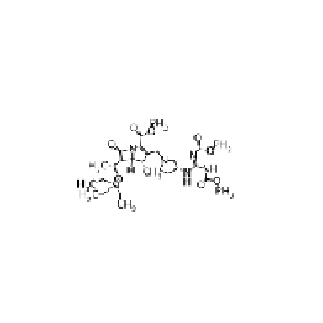 CC[Si](CC)(CC)O[C@H](C)C1C(=O)N2C(C(=O)OP)=C(CN3CC[C@@H](NC(=NC(=O)OP)NC(=O)OP)C3)[C@H](C)[C@H]12